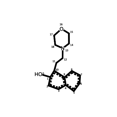 Oc1ccc2ccccc2c1CCN1CCOCC1